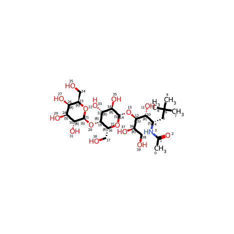 CC(=O)N[C@@H](CC(C)(C)C)[C@@H](O)[C@H](O[C@@H]1O[C@H](CO)[C@H](O[C@@H]2O[C@H](CO)[C@H](O)[C@H](O)[C@H]2O)[C@H](O)[C@H]1O)[C@H](O)CO